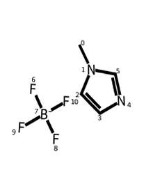 Cn1ccnc1.F[B-](F)(F)F